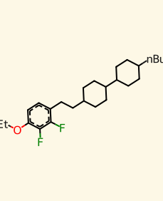 CCCCC1CCC(C2CCC(CCc3ccc(OCC)c(F)c3F)CC2)CC1